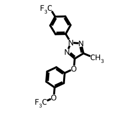 Cc1nn(-c2ccc(C(F)(F)F)cc2)nc1Oc1cccc(OC(F)(F)F)c1